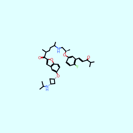 CC(CCC(C)C(=O)c1cc2cc(O[C@H]3C[C@@H](NC(C)C)C3)ccc2o1)NC[C@@H](C)Oc1ccc(F)c(/C=C/C(=O)C(C)C)c1